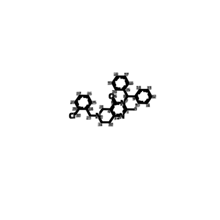 Cc1nc2c(c(=O)n1C(c1ccccc1)c1ccccc1)CN(Cc1ccccc1Cl)CC2